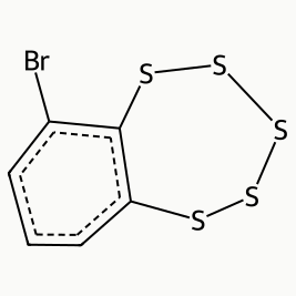 Brc1cccc2c1SSSSS2